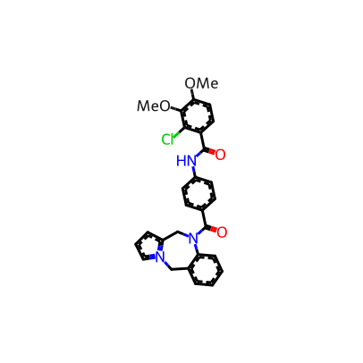 COc1ccc(C(=O)Nc2ccc(C(=O)N3Cc4cccn4Cc4ccccc43)cc2)c(Cl)c1OC